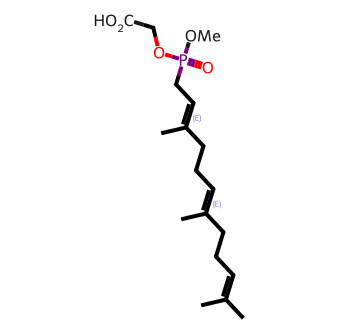 COP(=O)(C/C=C(\C)CC/C=C(\C)CCC=C(C)C)OCC(=O)O